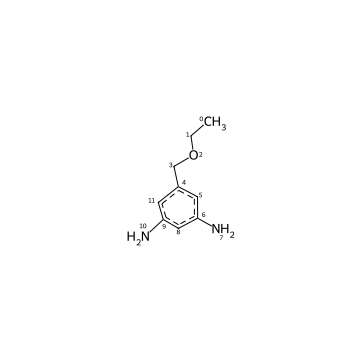 CCOCc1cc(N)cc(N)c1